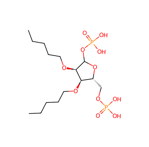 CCCCCO[C@@H]1[C@@H](COP(=O)(O)O)OC(OP(=O)(O)O)[C@@H]1OCCCCC